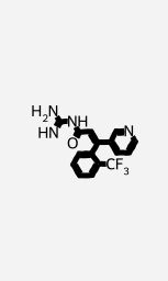 N=C(N)NC(=O)/C=C(/c1cccnc1)c1ccccc1C(F)(F)F